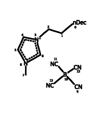 CCCCCCCCCCCC[n+]1ccn(C)c1.N#C[B-](C#N)(C#N)C#N